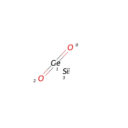 [O]=[Ge]=[O].[Si]